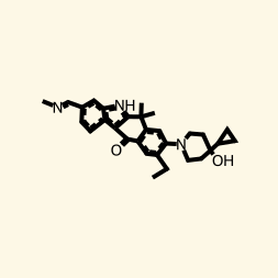 CCc1cc2c(cc1N1CCC(O)(C3CC3)CC1)C(C)(C)c1[nH]c3cc(/C=N/C)ccc3c1C2=O